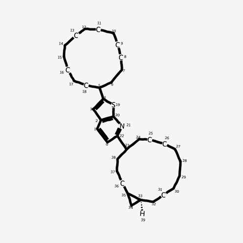 c1cc2cc(C3CCCCCCCCCCCCC3)sc2nc1C1CCCCCCCCC[C@H]2CC2CCC1